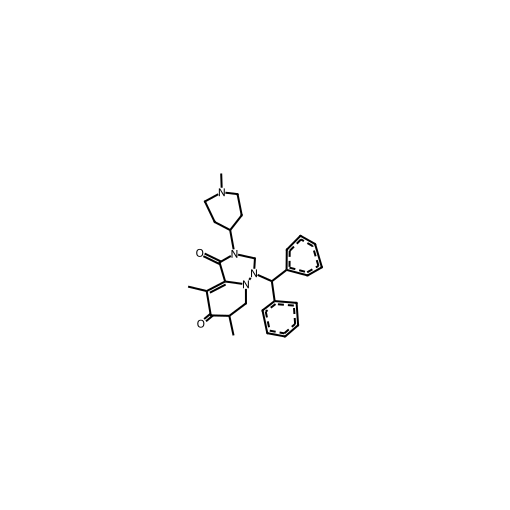 CC1=C2C(=O)N(C3CCN(C)CC3)CN(C(c3ccccc3)c3ccccc3)N2CC(C)C1=O